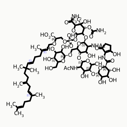 C=C(C/C=C(\C)CCC=C(C)C)CCC(C)(C)/C=C/CC/C(C)=C/CO[C@H](COP(=O)(O)O[C@H]1OC(C(N)=O)[C@@](C)(O)[C@H](OC(N)=O)C1O[C@@H]1OC(CO[C@@H]2OC(CO)[C@@H](O)C(O)C2O)[C@@H](O[C@@H]2OC(C)[C@@H](O[C@@H]3O[C@@H](C(=O)NC4=C(O)CCC4=O)[C@H](O)C(O)C3O)C(O)C2NC(C)=O)C(O)C1NC(C)=O)C(=O)O